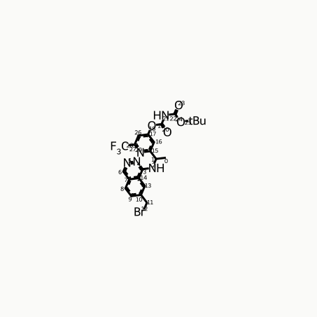 CC(Nc1nncc2ccc(CBr)cc12)c1cc(OC(=O)NC(=O)OC(C)(C)C)cc(C(F)(F)F)n1